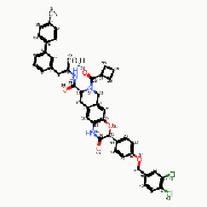 N#Cc1ccc(-c2cccc(CC(NC(=O)[C@@H]3Cc4cc5c(cc4CN3C(=O)C3CCC3)O[C@@H](c3ccc(OCc4ccc(Cl)c(Cl)c4)cc3)C(=O)N5)C(=O)O)c2)cc1